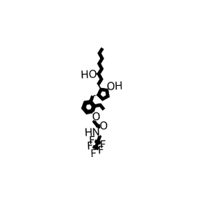 CCCCC[C@H](O)CC[C@@H]1[C@@H](Cc2cccc(OCC(=O)NCC(F)(F)C(F)(F)F)c2CC)CC[C@H]1O